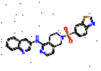 O=S(=O)(c1ccc2ncsc2c1)N1CCc2c(ccnc2Nc2cnc3ccccc3c2)C1